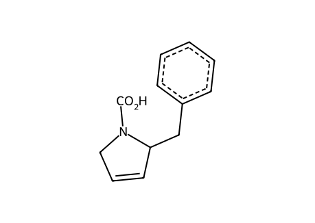 O=C(O)N1CC=CC1Cc1ccccc1